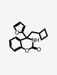 O=C1NC(CC2CCC2)(c2ccco2)c2ccccc2O1